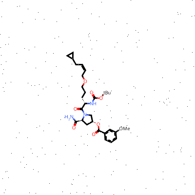 COc1cccc(C(=O)O[C@@H]2C[C@@H](C(N)=O)N(C(=O)[C@H](CCCOC/C=C\CC3CC3)NC(=O)OC(C)(C)C)C2)c1